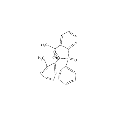 Cc1ccccc1C(=O)P(=O)(c1ccccc1)c1ccccc1C(C)C